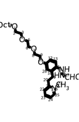 CCCCCCCCOCCOCCOCCOc1ccc(NNC=O)c(CCc2cccc[n+]2C)c1